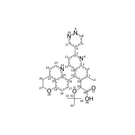 Cc1cc2nc(-c3ccnnc3)ccc2c(-c2ccc3c4c(ccnc24)CCO3)c1C(OC(C)(C)C)C(=O)O